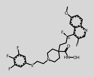 COc1ccc2ncc(F)c([C@H](F)CCC3(C(=O)NO)CCN(CCSc4cc(F)c(F)c(F)c4)CC3)c2c1